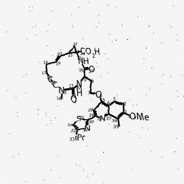 COc1ccc2c(OCCC3NC(=O)N(C)CCCC/C=C/C4CC4(C(=O)O)NC3=O)cc(-c3nc(C(C)C)cs3)nc2c1C